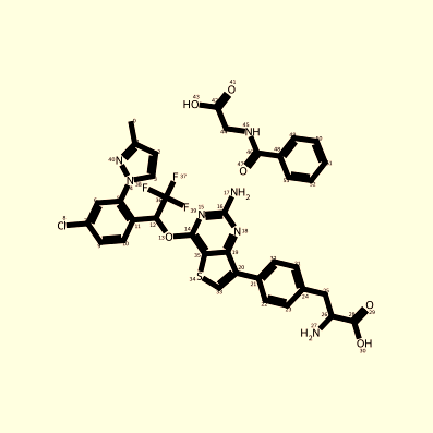 Cc1ccn(-c2cc(Cl)ccc2C(Oc2nc(N)nc3c(-c4ccc(CC(N)C(=O)O)cc4)csc23)C(F)(F)F)n1.O=C(O)CNC(=O)c1ccccc1